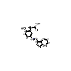 COC(=O)Nc1cc(/N=N/c2snc3nccnc23)ccc1O